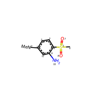 CNc1ccc(S(C)(=O)=O)c(N)c1